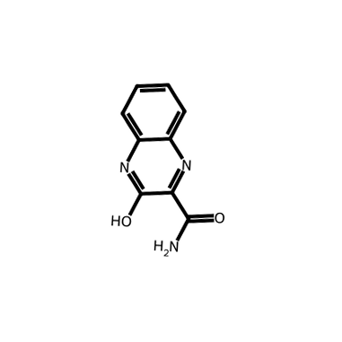 NC(=O)c1nc2ccccc2nc1O